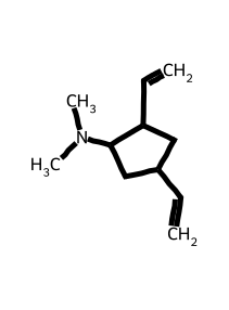 C=CC1CC(C=C)C(N(C)C)C1